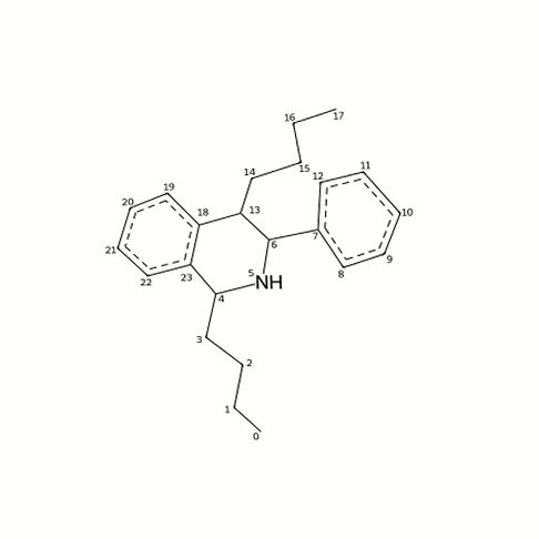 CCCCC1NC(c2ccccc2)C(CCCC)c2ccccc21